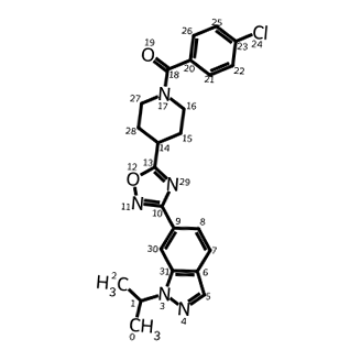 CC(C)n1ncc2ccc(-c3noc(C4CCN(C(=O)c5ccc(Cl)cc5)CC4)n3)cc21